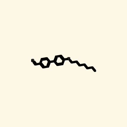 CCCCCCCOc1ccc(-c2ccc([C]=O)cc2)cc1